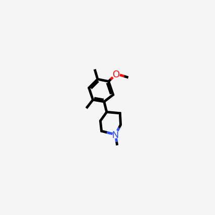 COc1cc(C2CCN(C)CC2)c(C)cc1C